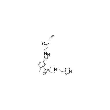 C#CCCC(=O)CCn1cc(-c2ccc(C)c([S+]([O-])N3CCN(CCc4ccncc4)CC3)c2)cn1